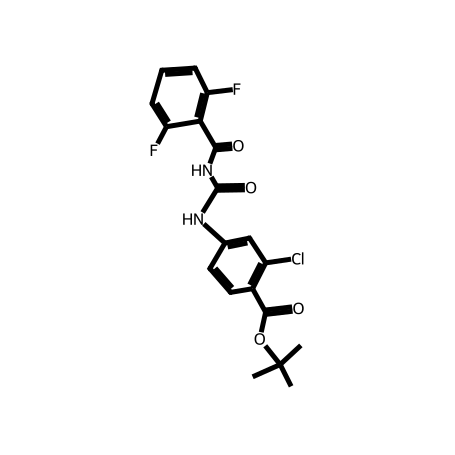 CC(C)(C)OC(=O)c1ccc(NC(=O)NC(=O)c2c(F)cccc2F)cc1Cl